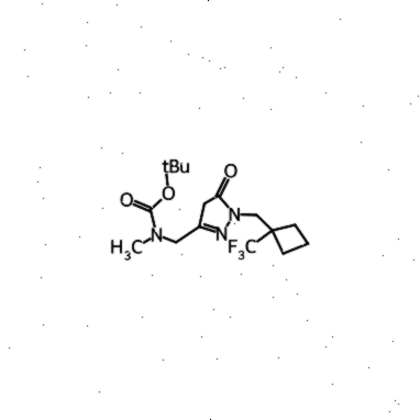 CN(CC1=NN(CC2(C(F)(F)F)CCC2)C(=O)C1)C(=O)OC(C)(C)C